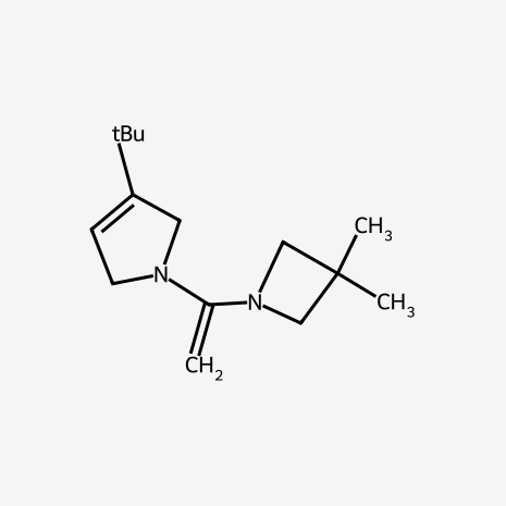 C=C(N1CC=C(C(C)(C)C)C1)N1CC(C)(C)C1